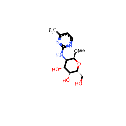 CO[C@H]1O[C@H](CO)[C@H](O)[C@H](O)[C@H]1Nc1nccc(C(F)(F)F)n1